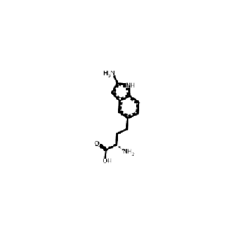 Nc1cc2cc(CC[C@H](N)C(=O)O)ccc2[nH]1